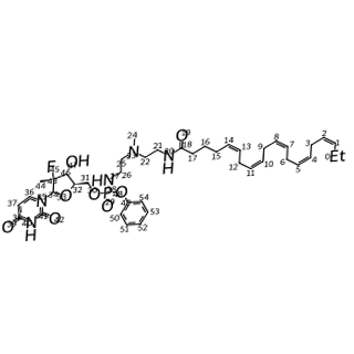 CC/C=C\C/C=C\C/C=C\C/C=C\C/C=C\CCCC(=O)NCCN(C)CCNP(=O)(OC[C@H]1OC(n2ccc(=O)[nH]c2=O)[C@](C)(F)[C@@H]1O)Oc1ccccc1